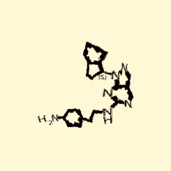 Nc1ccc(CCNc2ncc3cnn([C@H]4CCc5ccccc54)c3n2)cc1